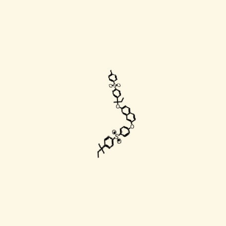 CCC(C)(C)c1ccc(S(=O)(=O)c2ccc(Oc3ccc4ccc(OC(C)(CC)c5ccc(S(=O)(=O)c6ccc(C)cc6)cc5)cc4c3)cc2)cc1